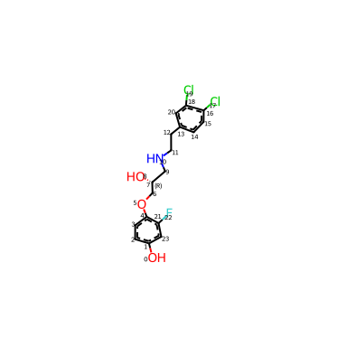 Oc1ccc(OC[C@H](O)CNCCc2ccc(Cl)c(Cl)c2)c(F)c1